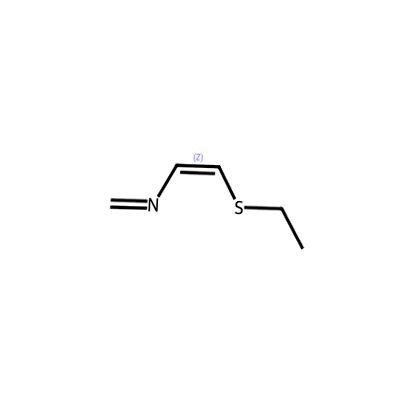 C=N/C=C\SCC